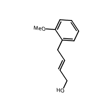 COc1ccccc1C/C=C/CO